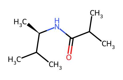 CC(C)C(=O)N[C@H](C)C(C)C